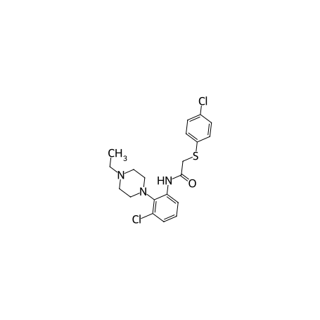 CCN1CCN(c2c(Cl)cccc2NC(=O)CSc2ccc(Cl)cc2)CC1